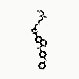 NCS(=O)(=O)CCNCc1cnc(-c2ccc3c(Nc4ccc(Oc5ccccc5)cc4)ncnc3c2)s1